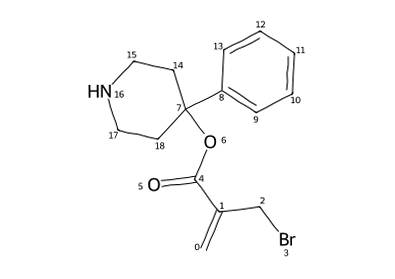 C=C(CBr)C(=O)OC1(c2ccccc2)CCNCC1